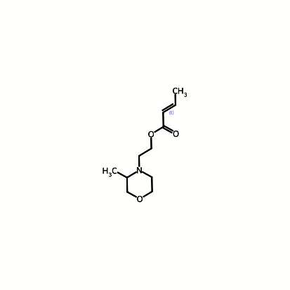 C/C=C/C(=O)OCCN1CCOCC1C